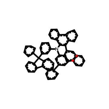 c1ccc(-c2cc(-c3ccccc3)cc(N(c3cccc(C4(c5ccccc5)c5ccccc5-c5ccccc54)c3)c3c(-c4ccccc4)c4ccccc4c4ccccc34)c2)cc1